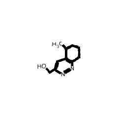 CC1CCCc2nnc(CO)cc21